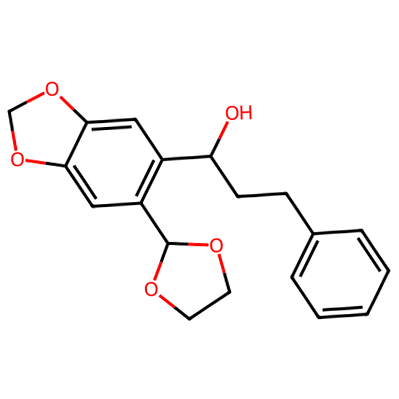 OC(CCc1ccccc1)c1cc2c(cc1C1OCCO1)OCO2